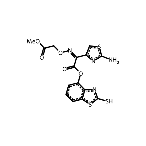 COC(=O)CO/N=C(\C(=O)Oc1cccc2sc(S)nc12)c1csc(N)n1